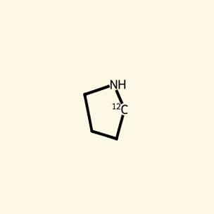 C1C[12CH2]NC1